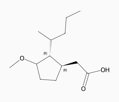 CCCC(C)[C@H]1C(OC)CC[C@@H]1CC(=O)O